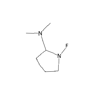 CN(C)C1CCCN1F